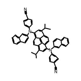 CC(C)c1cc(N(c2ccc(C#N)cc2)c2ccc3ccccc3c2)c2ccc3c(C(C)C)cc(N(c4ccc(C#N)cc4)c4ccc5ccccc5c4)c4ccc1c2c34